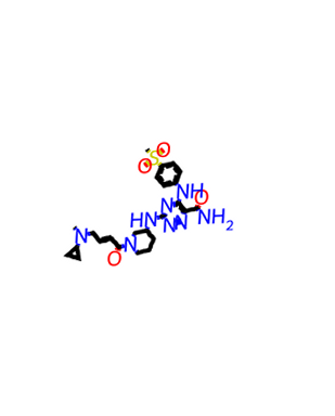 CN(C/C=C/C(=O)N1CCCC(Nc2nnc(C(N)=O)c(Nc3ccc(S(C)(=O)=O)cc3)n2)C1)C1CC1